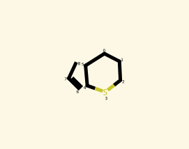 C1CCSCC1.C=CC